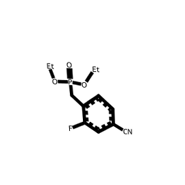 CCOP(=O)(Cc1ccc(C#N)cc1F)OCC